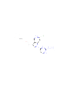 CC(COCCS(C)(C)C)c1cn(-c2ccnc(N)n2)c2cc(Br)ncc12